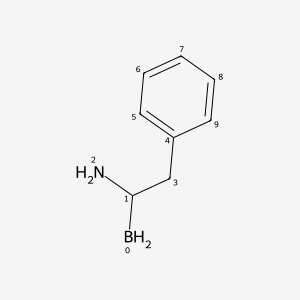 BC(N)Cc1ccccc1